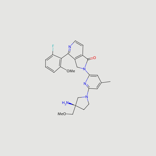 COC[C@@]1(N)CCN(c2cc(C)cc(N3Cc4c(ccnc4-c4c(F)cccc4OC)C3=O)n2)C1